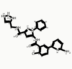 Nc1cccc(-c2ccc(Cl)c(C(=O)Nc3cc(C(=O)NCC4=CNNN4)nn3-c3ccccc3)c2)n1